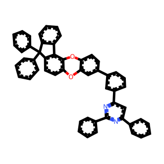 c1ccc(-c2cc(-c3cccc(-c4ccc5c(c4)Oc4ccc6c(c4O5)-c4ccccc4C6(c4ccccc4)c4ccccc4)c3)nc(-c3ccccc3)n2)cc1